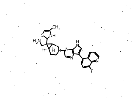 CC1=CS[C@H]([C@@]2(CN)[C@@H]3CCN(c4cnc5c(-c6ccc(F)c7ncccc67)c[nH]c5n4)C[C@@H]32)N1